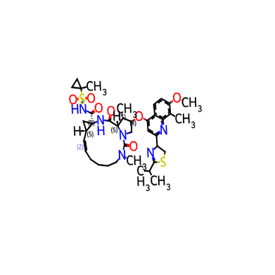 COc1ccc2c(O[C@H]3CN4C(=O)N(C)CCCC/C=C\[C@@H]5C[C@@]5(C(=O)NS(=O)(=O)C5(C)CC5)NC(=O)[C@@H]4[C@@H]3C)cc(C3CSC(C(C)C)=N3)nc2c1C